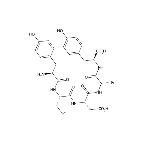 CC(C)C[C@H](NC(=O)[C@@H](N)Cc1ccc(O)cc1)C(=O)N[C@@H](CC(=O)O)C(=O)N[C@H](C(=O)N[C@@H](Cc1ccc(O)cc1)C(=O)O)C(C)C